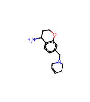 NC1CCOc2cc(CN3CC=CCC3)ccc21